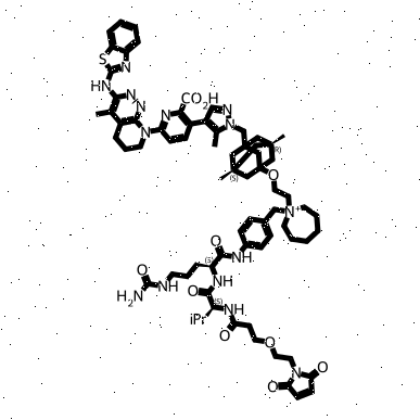 Cc1c(Nc2nc3ccccc3s2)nnc2c1CCCN2c1ccc(-c2cnn(CC34CC5(OCC[N+]6(Cc7ccc(NC(=O)[C@H](CCCNC(N)=O)NC(=O)[C@@H](NC(=O)CCOCCN8C(=O)C=CC8=O)C(C)C)cc7)CCCCCC6)C[C@](C)(C3)C[C@](C)(C4)C5)c2C)c(C(=O)O)n1